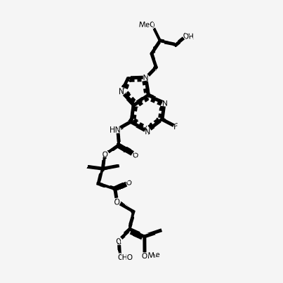 CO/C(C)=C(/COC(=O)CC(C)(C)OC(=O)Nc1nc(F)nc2c1ncn2CCC(CO)OC)OC=O